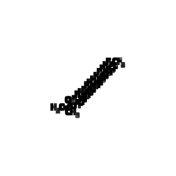 C=C(C)C(=O)OC(F)(F)C(F)(F)C(F)(F)C(F)(F)C(F)(F)C(F)(F)C(F)(F)C(F)(F)C(F)(F)C(F)(F)C(F)(F)C(F)(F)C(F)(F)F